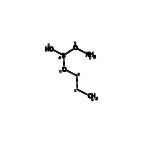 CCCOB(O)ON